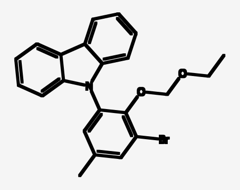 CCOCOc1c(Br)cc(C)cc1-n1c2ccccc2c2ccccc21